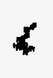 CC(C)c1cncc(NC(=O)Nc2ccc(Oc3ccnc(-c4cnn(CCN5CCN(C)CC5)c4)c3)c(F)c2)c1